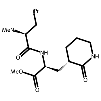 CN[C@@H](CC(C)C)C(=O)N[C@@H](C[C@@H]1CCCNC1=O)C(=O)OC